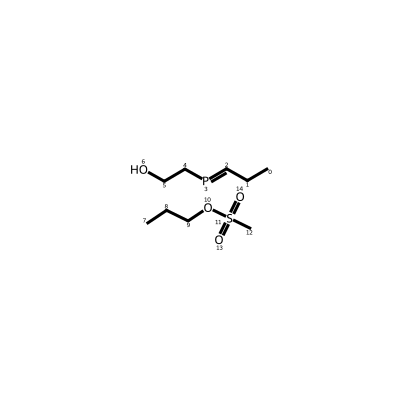 CCC=PCCO.CCCOS(C)(=O)=O